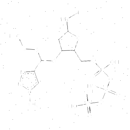 CSSC(OC1CC(BI)OC1COP(=O)(O)OP(=O)(O)OP(=O)(O)O)c1cn(C)nn1